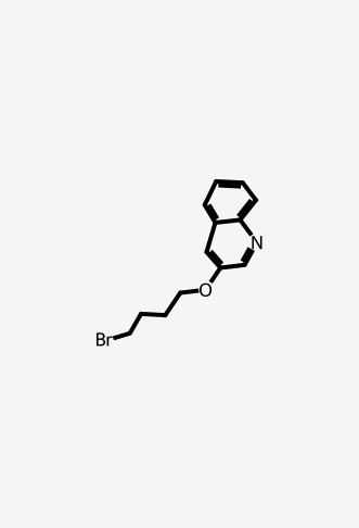 BrCCCCOc1cnc2ccccc2c1